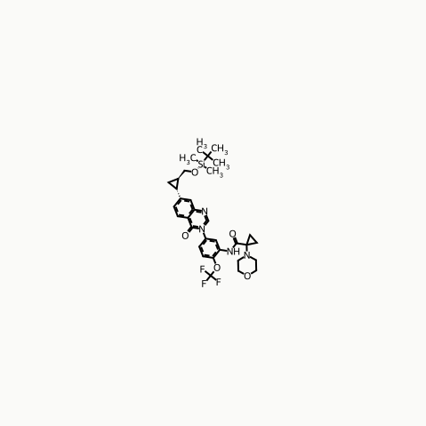 CC(C)(C)[Si](C)(C)OC[C@@H]1C[C@H]1c1ccc2c(=O)n(-c3ccc(OC(F)(F)F)c(NC(=O)C4(N5CCOCC5)CC4)c3)cnc2c1